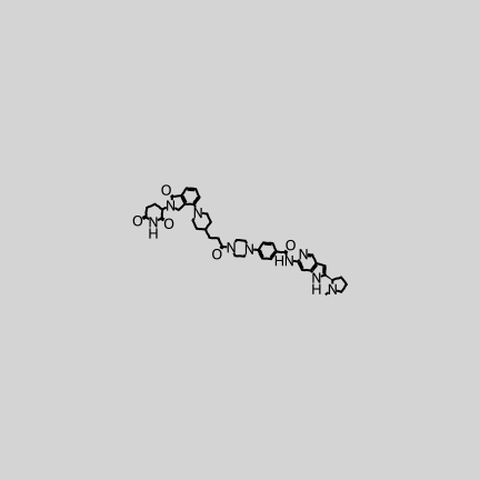 CN1CCC[C@@H]1c1cc2cnc(NC(=O)c3ccc(N4CCN(C(=O)CCC5CCN(c6cccc7c6CN(C6CCC(=O)NC6=O)C7=O)CC5)CC4)cc3)cc2[nH]1